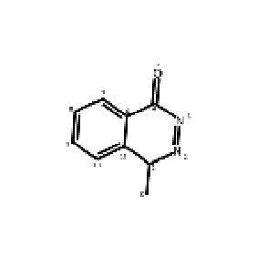 CC1N=NC(=O)c2ccccc21